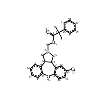 CC(C)(C(=O)OCN1CC2c3ccccc3Oc3ccc(Cl)cc3C2C1)c1ccccc1